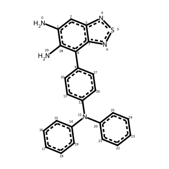 Nc1cc2nsnc2c(-c2ccc(N(c3ccccc3)c3ccccc3)cc2)c1N